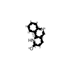 O=c1ccc2cnc3ccccc3c2[nH]1